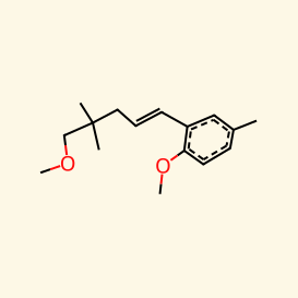 COCC(C)(C)C/C=C/c1cc(C)ccc1OC